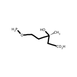 C[C@@](O)(CCOP)CC(=O)O